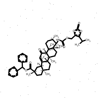 CC(C)c1oc(=O)oc1COC(=O)N[C@@]1(C)[C@@H]2CC[C@]3(C)[C@H](C(=O)C=C4[C@@H]5C[C@@](C)(C(=O)OC(c6ccccc6)c6ccccc6)CC[C@]5(C)CC[C@]43C)[C@@]2(C)CC[C@@H]1C